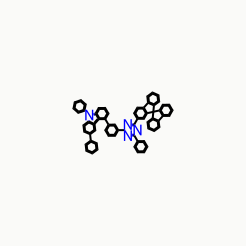 c1ccc(-c2ccc3c(c2)c2c(-c4cccc(-c5nc(-c6ccccc6)nc(-c6ccc7c(c6)C6(c8ccccc8-c8ccccc86)c6ccccc6-7)n5)c4)cccc2n3-c2ccccc2)cc1